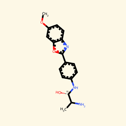 COc1ccc2nc(-c3ccc(N[C@@H](O)C(C)N)cc3)oc2c1